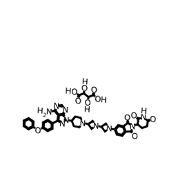 Nc1ncnc2c1c(-c1ccc(Oc3ccccc3)cc1)nn2C1CCN(C2CN(C3CN(c4ccc5c(c4)C(=O)N(C4CCC(=O)NC4=O)C5=O)C3)C2)CC1.O=C(O)C(O)C(O)C(=O)O